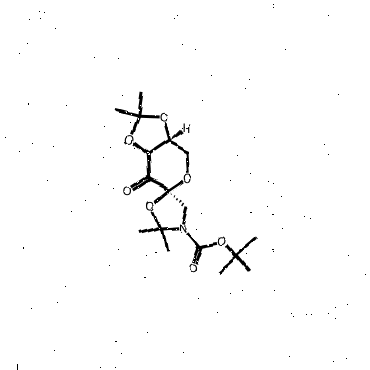 CC(C)(C)OC(=O)N1C[C@]2(OC[C@H]3OC(C)(C)OC3C2=O)OC1(C)C